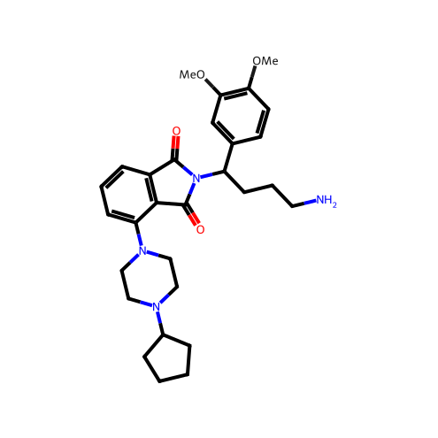 COc1ccc(C(CCCN)N2C(=O)c3cccc(N4CCN(C5CCCC5)CC4)c3C2=O)cc1OC